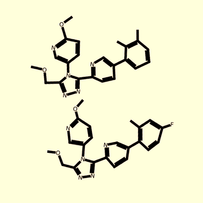 COCc1nnc(-c2ccc(-c3ccc(F)cc3C)cn2)n1-c1ccc(OC)nc1.COCc1nnc(-c2ccc(-c3cccc(C)c3C)cn2)n1-c1ccc(OC)nc1